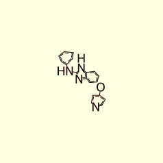 c1ccc(Nc2nc3cc(Oc4ccncc4)ccc3[nH]2)cc1